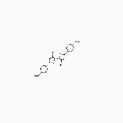 CCCCCCCCc1ccc(-c2cc(Br)c(-c3sc(-c4ccc(CCCCCCCC)cc4)cc3Br)s2)cc1